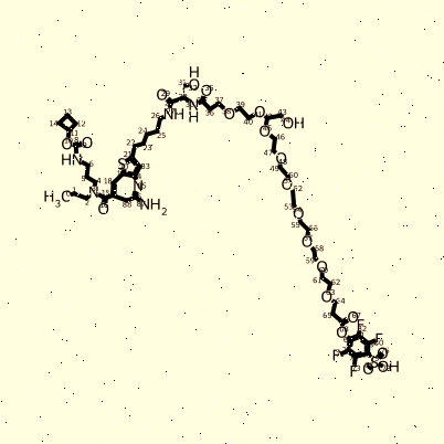 CCCN(CCCNC(=O)OC1CCC1)C(=O)C1=Cc2sc(CCCCCNC(=O)[C@H](CO)NC(=O)CCOCCOC(CO)OCCOCCOCCOCCOCCOCCOCCC(=O)Oc3c(F)c(F)c(S(=O)(=O)O)c(F)c3F)cc2N=C(N)C1